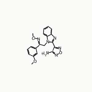 CON=C(Cn1c(-c2nonc2N)nc2ccccc21)c1cccc(OC)c1